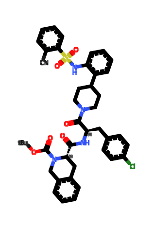 CC(C)(C)OC(=O)N1Cc2ccccc2C[C@H]1C(=O)N[C@H](Cc1ccc(Cl)cc1)C(=O)N1CCC(c2ccccc2NS(=O)(=O)c2ccccc2C#N)CC1